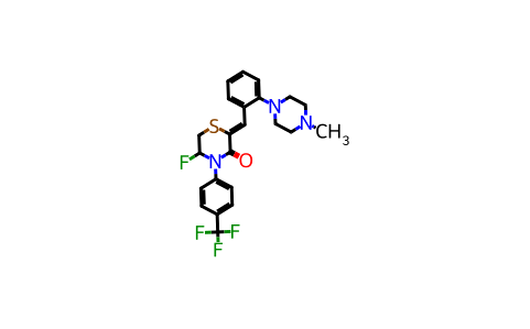 CN1CCN(c2ccccc2/C=C2\SCC(F)N(c3ccc(C(F)(F)F)cc3)C2=O)CC1